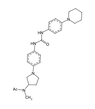 CC(=O)N(C)C1CCN(c2ccc(NC(=O)Nc3ccc(N4CCCCC4)cc3)cc2)C1